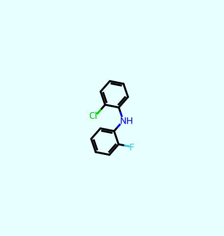 Fc1ccccc1Nc1ccccc1Cl